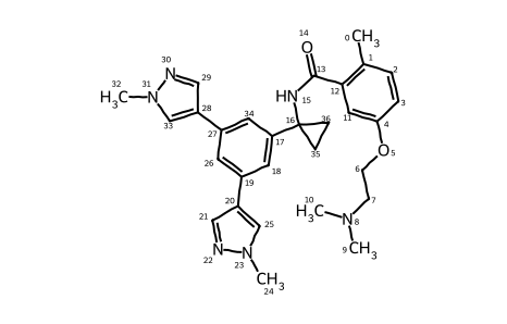 Cc1ccc(OCCN(C)C)cc1C(=O)NC1(c2cc(-c3cnn(C)c3)cc(-c3cnn(C)c3)c2)CC1